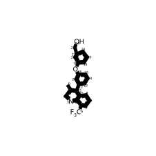 Cc1cnc2c(C(F)(F)F)cccc2c1-c1cccc(Oc2cccc(CO)c2)c1